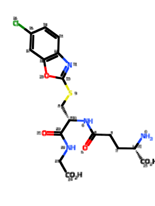 N[C@@H](CCC(=O)N[C@@H](CSc1nc2ccc(Cl)cc2o1)C(=O)NCC(=O)O)C(=O)O